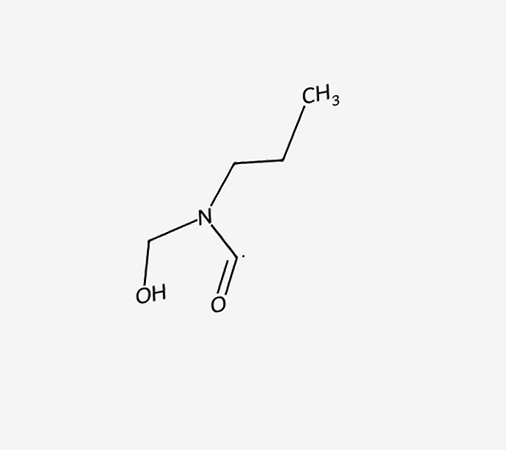 CCCN([C]=O)CO